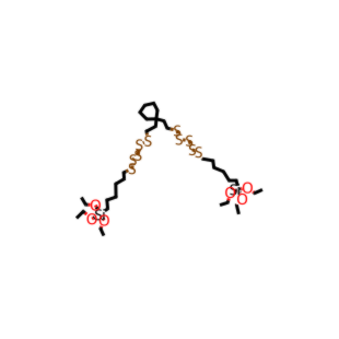 CCO[Si](CCCCCCSSSSSCCC1(CCSSSSSCCCCCC[Si](OCC)(OCC)OCC)CCCCC1)(OCC)OCC